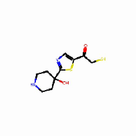 O=C(CS)c1cnc(C2(O)CCNCC2)s1